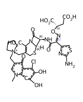 Cn1cc(C[N+]2(CC3=C(C(=O)O)N4C(=O)[C@@H](NC(=O)/C(=N\O[C@@H](CC(=O)O)C(=O)O)c5csc(N)n5)[C@H]4SC3)CCCC2)c(=O)c2c(Cl)c(O)c(O)cc21